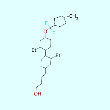 CCC1CC(CCCCO)CCC1C1CCC(OC(F)(F)C2CCC(C)CC2)CC1CC